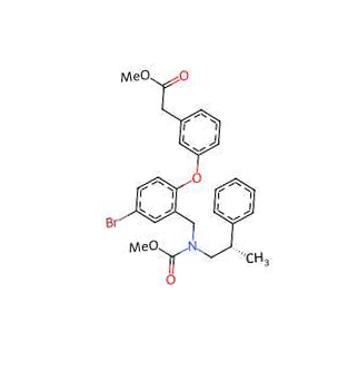 COC(=O)Cc1cccc(Oc2ccc(Br)cc2CN(C[C@@H](C)c2ccccc2)C(=O)OC)c1